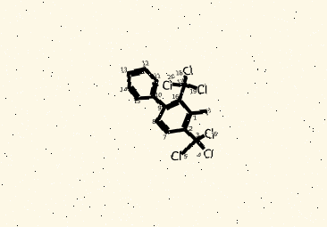 [CH2]c1c(C(Cl)(Cl)Cl)ccc(-c2ccccc2)c1C(Cl)(Cl)Cl